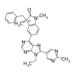 CCn1c(-c2cnc(C)nc2)nc2c(-c3ccc4c(c3)[C@](C)(Cc3ccccc3)C(=O)N4C)ncnc21